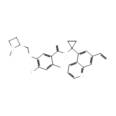 C=Cc1cc(C2(NC(=O)c3cc(OC[C@@H]4CCN4C)c(F)cc3C)CC2)c2cccnc2c1